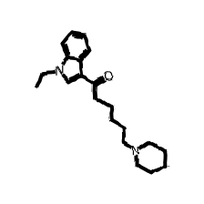 CCn1cc(C(=O)CCCCCN2CC[CH]CC2)c2ccccc21